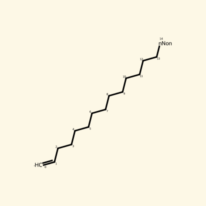 [CH]=CCCCCCCCCCCCCCCCCCCCC[CH2]